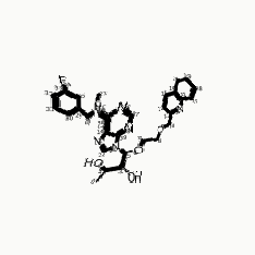 C[C@@H](O)[C@@H](O)[C@@H](OCCOCc1ccc2c(n1)C=CCC2)n1cnc2c(N(C)Cc3cccc(F)c3)ncnc21